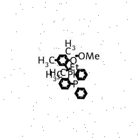 CCC(C)(Pc1c(C)cccc1P(c1ccccc1)c1ccccc1)c1cc(C)cc(C)c1OCOC